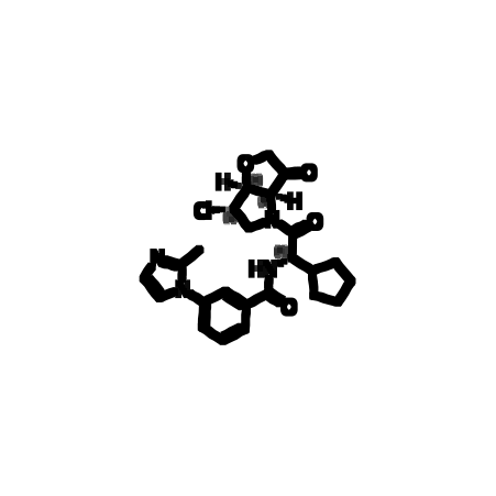 Cc1nccn1-c1cccc(C(=O)N[C@H](C(=O)N2C[C@H](Cl)[C@H]3OCC(=O)[C@H]32)C2CCCC2)c1